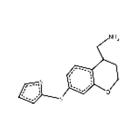 NCC1CCOc2cc(Sc3cccs3)ccc21